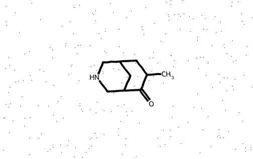 CC1CC2CNCC(C2)C1=O